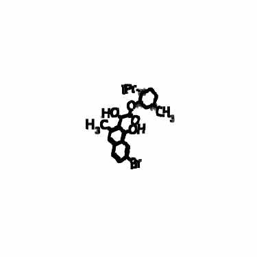 Cc1cc2ccc(Br)cc2c(O)c1C(O)C(=O)O[C@@H]1C[C@H](C)CC[C@H]1C(C)C